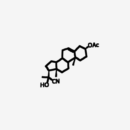 CC(=O)O[C@H]1CC[C@@]2(C)C(=CCC3C2CC[C@@]2(C)C3CC[C@@H]2C(C)(O)C#N)C1